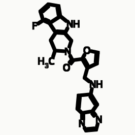 CC1Cc2c([nH]c3cccc(F)c23)CN1C(=O)c1occc1CNc1ccc2nccnc2c1